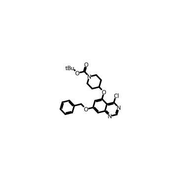 CC(C)(C)OC(=O)N1CCC(Oc2cc(OCc3ccccc3)cc3ncnc(Cl)c23)CC1